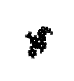 CC1(C)Cn2nc(-c3ccc(F)cn3)c(-c3cc(C4CC4)nc4c3cnn4Cc3ccccc3)c2CO1